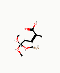 CO[Si](CC=C(C)C(=O)O)(OC)OC.S